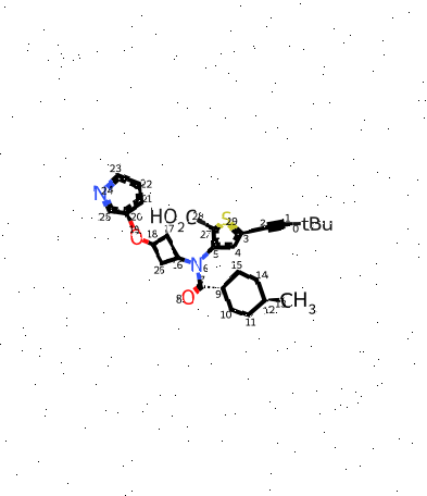 CC(C)(C)C#Cc1cc(N(C(=O)[C@H]2CC[C@H](C)CC2)C2CC(Oc3cccnc3)C2)c(C(=O)O)s1